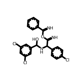 N=C(OC(=N)C(NC(O)c1cc(Cl)cc(Cl)c1)c1ccc(Cl)cc1)c1ccccc1